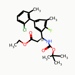 CCOC(=O)C[C@H](NC(=O)OC(C)(C)C)c1cc(-c2c(C)cccc2Cl)cc(C)c1F